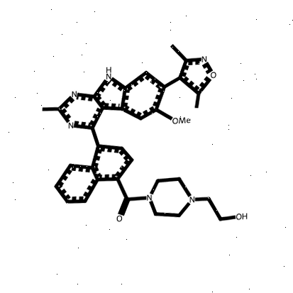 COc1cc2c(cc1-c1c(C)noc1C)[nH]c1nc(C)nc(-c3ccc(C(=O)N4CCN(CCO)CC4)c4ccccc34)c12